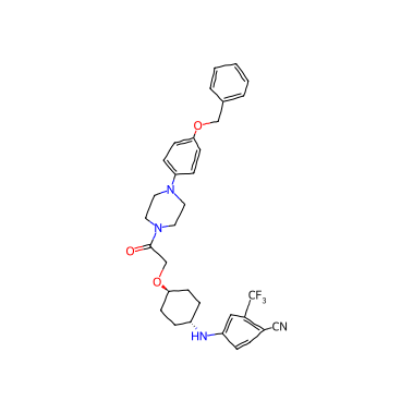 N#Cc1ccc(N[C@H]2CC[C@H](OCC(=O)N3CCN(c4ccc(OCc5ccccc5)cc4)CC3)CC2)cc1C(F)(F)F